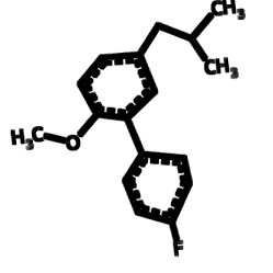 COc1ccc(CC(C)C)cc1-c1ccc(F)cc1